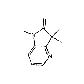 C=C1N(C)c2cccnc2C1(C)C